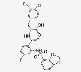 O=C(N[C@@H](Cc1ccc(Cl)c(Cl)c1)C(=O)O)c1ccc(I)cc1NS(=O)(=O)c1cccc2c1OCO2